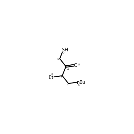 CCCCCC(CC)C(=O)CS